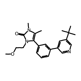 COCCn1c(-c2cccc(-c3cncc(C(C)(C)C)c3)c2)c(C)n(C)c1=O